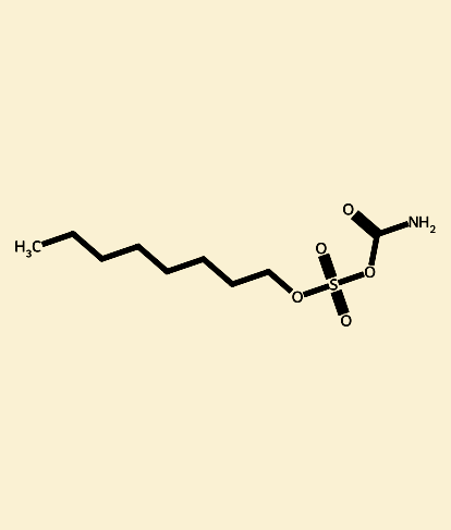 CCCCCCCCOS(=O)(=O)OC(N)=O